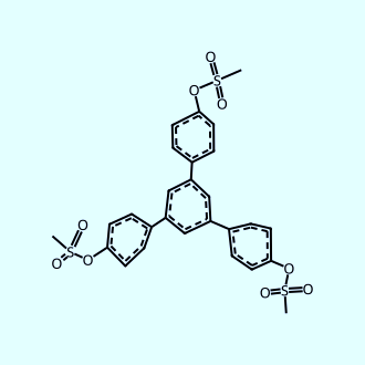 CS(=O)(=O)Oc1ccc(-c2cc(-c3ccc(OS(C)(=O)=O)cc3)cc(-c3ccc(OS(C)(=O)=O)cc3)c2)cc1